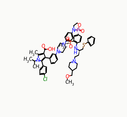 COCC1CCN(CC[C@H](CSc2ccccc2)Nc2ccc([P@@]3(=O)OCCN3c3ccc(N4CCN(c5cccc(-c6c(C(=O)O)c(C)n(C(C)C)c6-c6ccc(Cl)cc6)c5)CC4)cc3)cc2S(C)(=O)=O)CC1